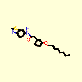 CCCCCC=CCOc1cccc(CC(=O)Nc2ccc3ncsc3c2)c1